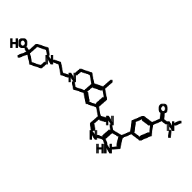 Cc1cc(-c2cnc3[nH]cc(-c4ccc(C(=O)N(C)C)cc4)c3n2)cc2c1CCN(CCN1CCC(C)(O)CC1)C2